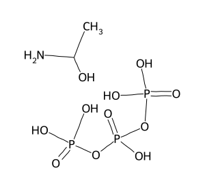 CC(N)O.O=P(O)(O)OP(=O)(O)OP(=O)(O)O